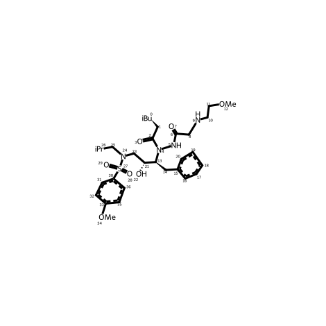 CC[C@H](C)CC(=O)N(NC(=O)CNCCOC)[C@@H](Cc1ccccc1)[C@H](O)CN(CC(C)C)S(=O)(=O)c1ccc(OC)cc1